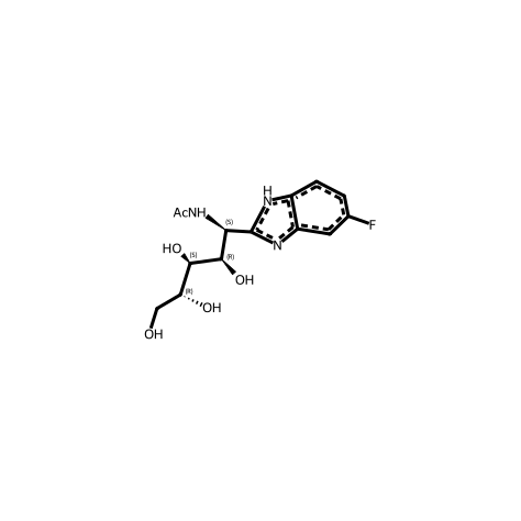 CC(=O)N[C@@H](c1nc2cc(F)ccc2[nH]1)[C@@H](O)[C@H](O)[C@H](O)CO